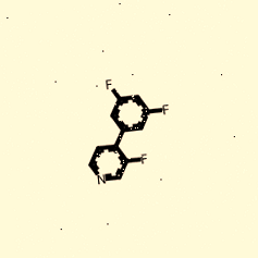 Fc1cc(F)cc(-c2ccncc2F)c1